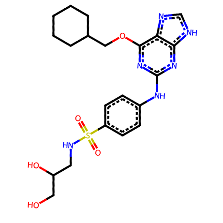 O=S(=O)(NCC(O)CO)c1ccc(Nc2nc(OCC3CCCCC3)c3nc[nH]c3n2)cc1